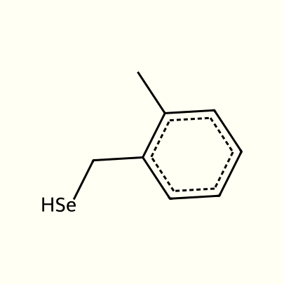 Cc1ccccc1C[SeH]